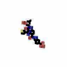 CC(C)C[C@@H](CO)NC(=O)c1c(-c2ccsc2)nc2c(C(=O)NCc3ccc(C(=O)O)cc3)cccn12